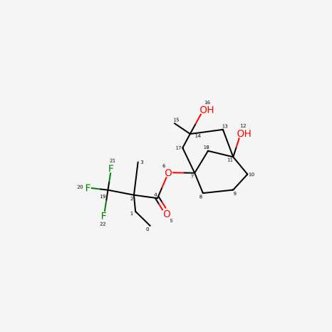 CCC(C)(C(=O)OC12CCCC(O)(CC(C)(O)C1)C2)C(F)(F)F